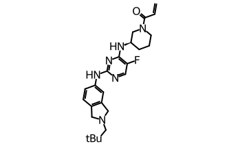 C=CC(=O)N1CCC[C@@H](Nc2nc(Nc3ccc4c(c3)CN(CC(C)(C)C)C4)ncc2F)C1